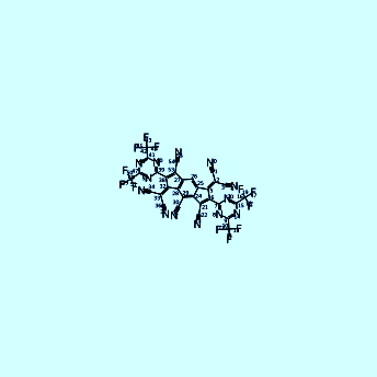 N#CC(C#N)=C1C(c2nc(C(F)(F)F)nc(C(F)(F)F)n2)=C(C#N)c2c1cc1c(c2C#N)C(=C(C#N)C#N)C(c2nc(C(F)(F)F)nc(C(F)(F)F)n2)=C1C#N